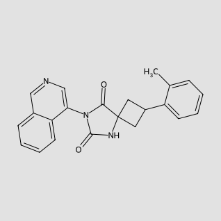 Cc1ccccc1C1CC2(C1)NC(=O)N(c1cncc3ccccc13)C2=O